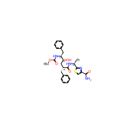 CC(C)[C@H](NC(=O)[C@H](Cc1ccccc1)C[C@H](O)[C@H](Cc1ccccc1)NC(=O)OC(C)(C)C)c1nc(C(N)=O)cs1